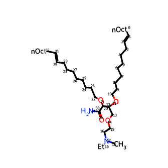 CCCCCCCCC=CCCCCCCCCOC(COCCN(C)CC)C(OCCCCCCCCC=CCCCCCCCC)C(N)=O